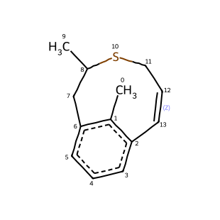 Cc1c2cccc1CC(C)SC/C=C\2